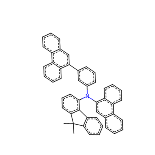 CC1(C)c2ccccc2-c2c(N(c3cccc(-c4cc5ccccc5c5ccccc45)c3)c3cc4ccccc4c4ccccc34)cccc21